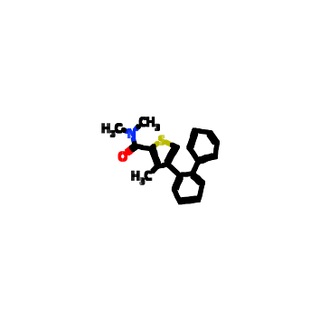 Cc1c(-c2ccccc2-c2ccccc2)csc1C(=O)N(C)C